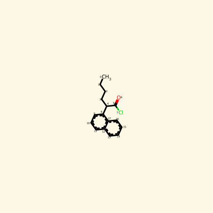 CCCCC(C(=O)Cl)c1cccc2ccccc12